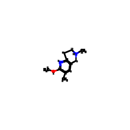 COc1nc2c(cc1C)CN(C)CC2